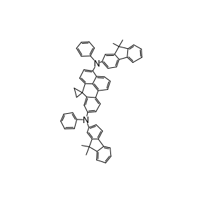 CC1(C)c2ccccc2-c2ccc(N(c3ccccc3)c3ccc4c(c3)C3(CC3)c3ccc(N(c5ccccc5)c5ccc6c(c5)C(C)(C)c5ccccc5-6)c5cccc-4c35)cc21